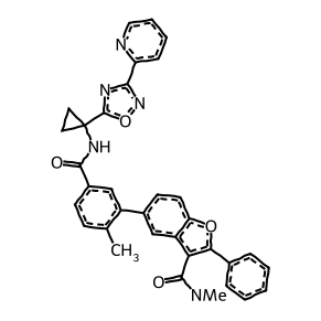 CNC(=O)c1c(-c2ccccc2)oc2ccc(-c3cc(C(=O)NC4(c5nc(-c6ccccn6)no5)CC4)ccc3C)cc12